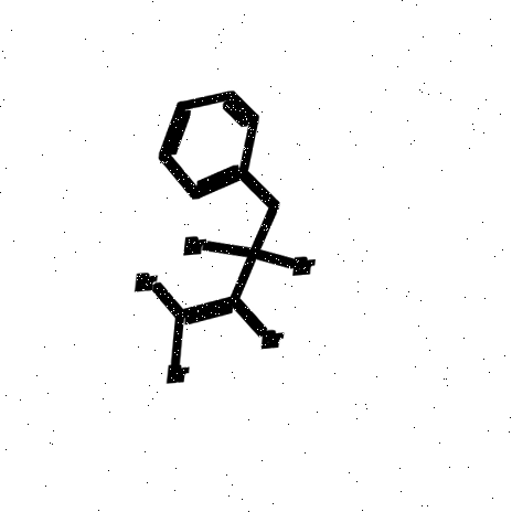 BrC(Br)=C(Br)C(Br)(Br)Cc1ccccc1